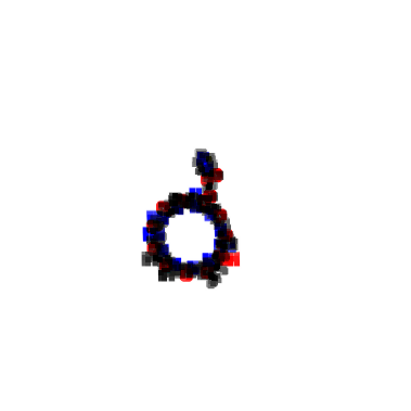 C/C=C/C[C@@H](C)[C@@H](O)C1C(=O)N[C@@H](CC)C(=O)N(C)[C@H](C)C(=O)N(C)[C@@H]([C@H](C)COCCOC(=O)N2CCN(C)CC2)C(=O)N[C@@H](C(C)C)C(=O)N(C)[C@@H](CC(C)C)C(=O)N[C@@H](C)C(=O)N[C@H](C)C(=O)N(C)[C@@H](CC(C)C)C(=O)N(C)[C@@H](CC(C)C)C(=O)N(C)[C@@H](C(C)C)C(=O)N1C